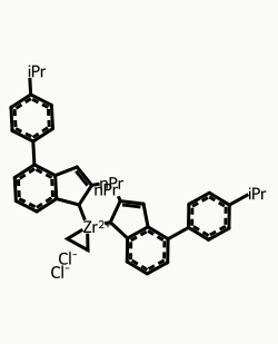 CCCC1=Cc2c(-c3ccc(C(C)C)cc3)cccc2[CH]1[Zr+2]1([CH]2C(CCC)=Cc3c(-c4ccc(C(C)C)cc4)cccc32)[CH2][CH2]1.[Cl-].[Cl-]